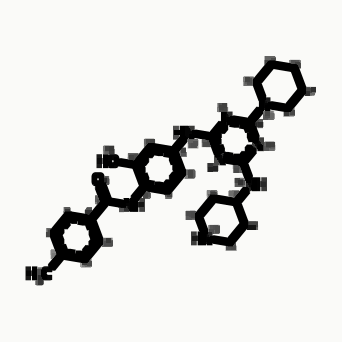 Cc1ccc(C(=O)Nc2ccc(Nc3nc(NC4CCNCC4)nc(N4CCCCC4)n3)cc2O)cc1